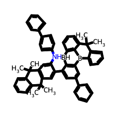 CC1(C)c2ccccc2C(C)(C)c2cc(-c3cc(-c4ccccc4)cc4c3Bc3cccc5c3B4c3ccccc3C5(C)C)c(Nc3ccc(-c4ccccc4)cc3)cc21